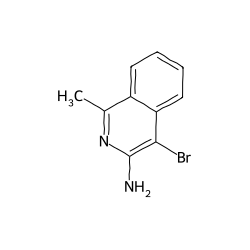 Cc1nc(N)c(Br)c2ccccc12